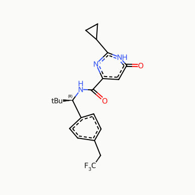 CC(C)(C)[C@@H](NC(=O)c1cc(=O)[nH]c(C2CC2)n1)c1ccc(CC(F)(F)F)cc1